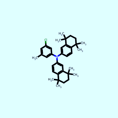 Cc1cc(Cl)cc(N(c2ccc3c(c2)C(C)(C)CCC3(C)C)c2ccc3c(c2)C(C)(C)CCC3(C)C)c1